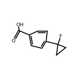 O=C(O)c1ccc(C2(F)CC2)cc1